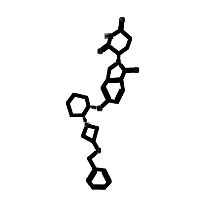 O=C1CCC(N2Cc3cc(O[C@H]4CCCC[C@H]4N4CC(OCc5ccccc5)C4)ccc3C2=O)C(=O)N1